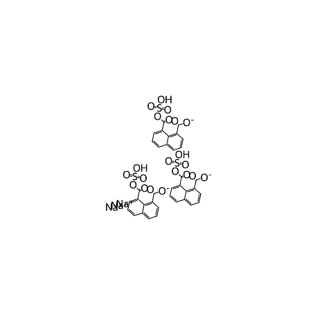 O=C([O-])c1cccc2cccc(C(=O)OS(=O)(=O)O)c12.O=C([O-])c1cccc2cccc(C(=O)OS(=O)(=O)O)c12.O=C([O-])c1cccc2cccc(C(=O)OS(=O)(=O)O)c12.[Na+].[Na+].[Na+]